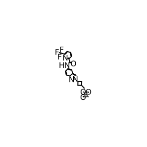 CS(=O)(=O)OCC1CC(n2cc3cc(NC(=O)c4cccc(C(F)(F)F)n4)ccc3n2)C1